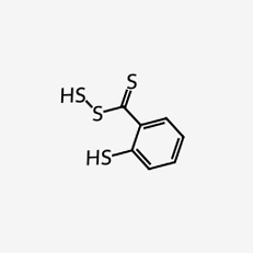 S=C(SS)c1ccccc1S